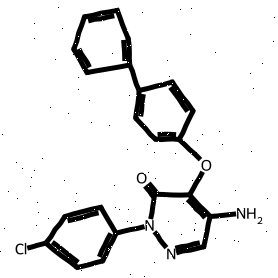 Nc1cnn(-c2ccc(Cl)cc2)c(=O)c1Oc1ccc(-c2ccccc2)cc1